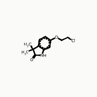 CC1(C)C(=O)Nc2cc(OCCCl)ccc21